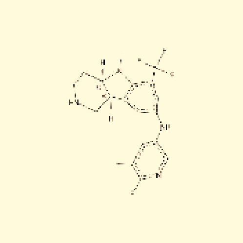 Cc1cc(Nc2cc3c(c(C(F)(F)F)c2)N(C)[C@@H]2CCNC[C@H]32)cnc1F